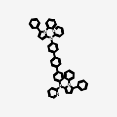 c1ccc(-c2ccc(N(c3ccc(-c4ccc(-c5ccc(N(c6ccccn6)c6ccc(-c7ccccc7)n6-c6ccccc6)cc5)cc4)cc3)c3ccccn3)n2-c2ccccc2)cc1